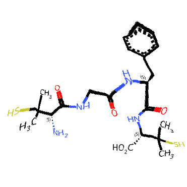 CC(C)(S)[C@@H](N)C(=O)NCC(=O)N[C@@H](Cc1ccccc1)C(=O)N[C@@H](C(=O)O)C(C)(C)S